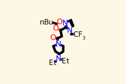 CCCCC(=O)OC(CC(=O)N1CCC(N(CC)CC)CC1)c1nccn1CC(F)(F)F